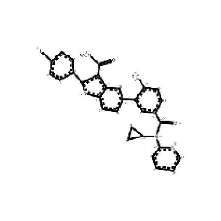 CNC(=O)c1c(-c2ccc(F)cc2)oc2ccc(-c3cc(C(=O)N(c4ccccn4)C4CC4)ccc3C(F)(F)F)cc12